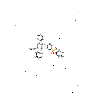 COc1cc(-c2ccccc2)c(Oc2ccc(S(=O)(=O)c3ccc(C)cc3)cc2)cc1-c1ccccc1